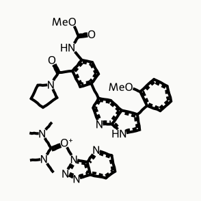 CN(C)C(=[O+]n1nnc2cccnc21)N(C)C.COC(=O)Nc1ccc(-c2cnc3[nH]cc(-c4ccccc4OC)c3c2)cc1C(=O)N1CCCC1